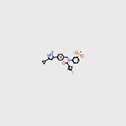 Cn1nc(C2CC2)cc1C12CCC(CN(C(=O)C34CC(F)(C3)C4)c3cccc(S(C)(=O)=O)c3)(CC1)CC2